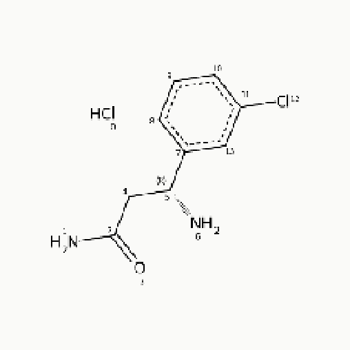 Cl.NC(=O)C[C@@H](N)c1cccc(Cl)c1